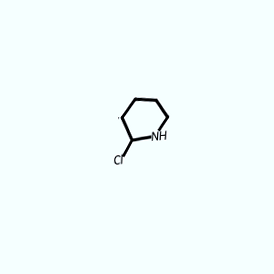 ClC1[CH]CCCN1